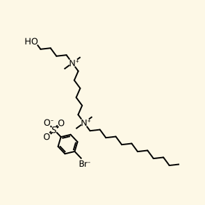 CCCCCCCCCCCC[N+](C)(C)CCCCCC[N+](C)(C)CCCCO.Cc1ccc(S(=O)(=O)[O-])cc1.[Br-]